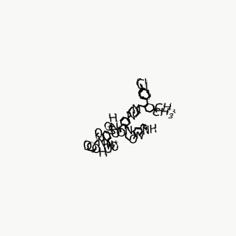 CC1(C)CCC(CN2CCN(c3ccc(C(=O)NS(=O)(=O)c4cc5c(c([N+](=O)[O-])c4)N[C@@H]([C@H]4COCCO4)CO5)c(N4CCCOc5nc6[nH]ccc6cc54)c3)CC2)=C(c2ccc(Cl)cc2)C1